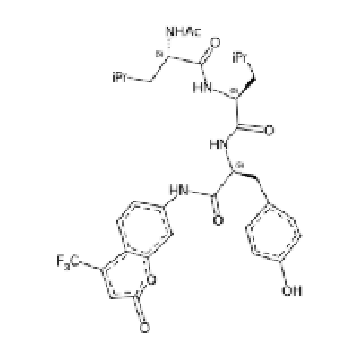 CC(=O)N[C@@H](CC(C)C)C(=O)N[C@@H](CC(C)C)C(=O)N[C@@H](Cc1ccc(O)cc1)C(=O)Nc1ccc2c(C(F)(F)F)cc(=O)oc2c1